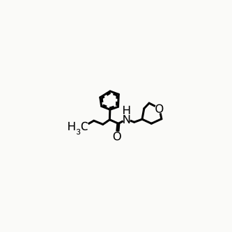 CCCC(C(=O)NCC1CCOCC1)c1ccccc1